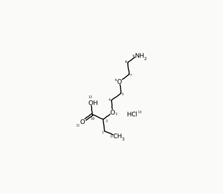 CCC(OCCOCCN)C(=O)O.Cl